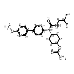 COc1ncc(-c2ccc(N(C(=O)NCC(F)F)[C@H]3CC[C@H](OC(N)=O)CC3)nc2)cn1